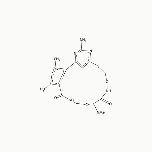 CNC1CCNC(=O)c2cc(c(C)cc2C)-c2cc(nc(N)n2)SCCNC1=O